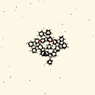 c1ccc(-n2c3ccccc3c3c2ccc2c4ccc(C(c5ccccc5)(c5ccccc5)c5ccccc5)cc4n(-c4nc(-c5cccc(S(c6ccccc6)(c6ccccc6)c6ccccc6)c5)nc(-n5c6ccccc6c6cc(S(c7ccccc7)(c7ccccc7)c7ccccc7)ccc65)n4)c23)cc1